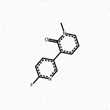 Cn1cccc(-c2ccc(F)nc2)c1=O